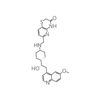 COc1ccc2nccc(C[C@H](O)[C@H]3CC[C@H](NCc4ccc5c(n4)NC(=O)CS5)CC3)c2c1